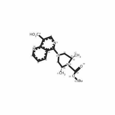 C[C@@H]1CN(c2ncc(C(=O)O)c3ncccc23)C[C@H](C)N1C(=O)OC(C)(C)C